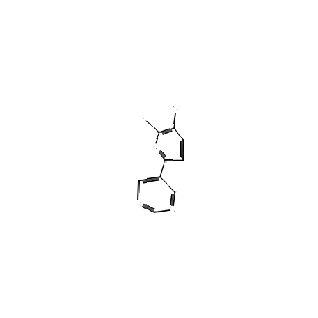 Nc1ccc(-c2cncnc2)nc1N